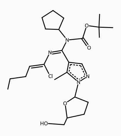 CCC/C=C(Cl)/N=C(\c1cnn(C2CCC(CO)O2)c1C)N(C(=O)OC(C)(C)C)C1CCCC1